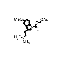 COc1ccc2c(c1)c(CCN(C)C)cn2C(=O)OCOC(C)=O